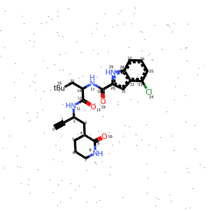 C#CC(CC1CCCNC1=O)NC(=O)C(CC(C)(C)C)NC(=O)c1cc2c(Cl)cccc2[nH]1